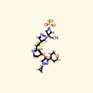 CCS(=O)(=O)N1CC(CC#N)(n2cc(-c3cc4nccc(Oc5cn(C6CC6)nc5C5CCOCC5)c4s3)cn2)C1